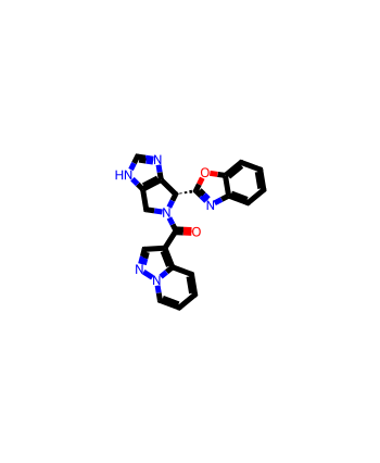 O=C(c1cnn2ccccc12)N1Cc2[nH]cnc2[C@@H]1c1nc2ccccc2o1